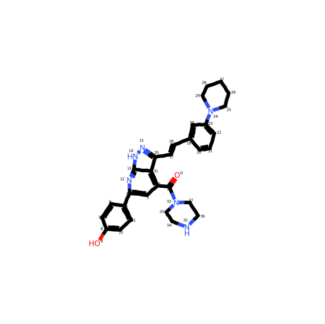 O=C(c1cc(-c2ccc(O)cc2)nc2[nH]nc(C=Cc3cccc(N4CCCCC4)c3)c12)N1CCNCC1